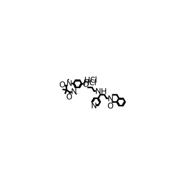 CN1C(=O)C(C)(C)C(=O)N(C)c2cc(OCCCNC(CCN3CCc4ccccc4C3=O)c3ccncc3)ccc21.Cl.Cl